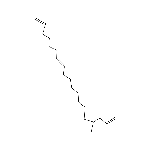 C=CCCCCC=CCCCCCCCC(C)CC=C